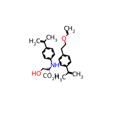 C=C(C)c1ccc(N[C@@H](CO)C(=O)O)cc1.C=COCCc1ccc(C(=C)C)cc1